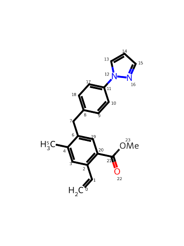 C=Cc1cc(C)c(Cc2ccc(-n3cccn3)cc2)cc1C(=O)OC